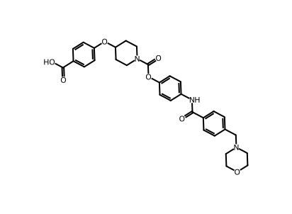 O=C(O)c1ccc(OC2CCN(C(=O)Oc3ccc(NC(=O)c4ccc(CN5CCOCC5)cc4)cc3)CC2)cc1